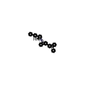 N=c1c(-c2ccc(-c3ccccc3)cc2)cccn1/N=C/n1c2ccccc2c2cc(-c3ccc4c(c3)c3ccccc3n4-c3ccccc3)ccc21